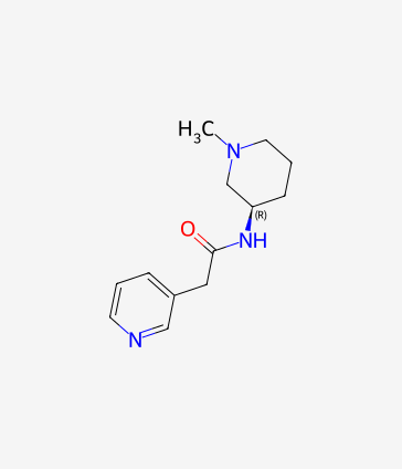 CN1CCC[C@@H](NC(=O)Cc2cccnc2)C1